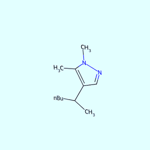 CCCCC(C)c1cnn(C)c1C